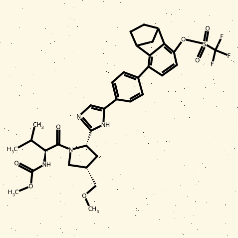 COC[C@H]1C[C@@H](c2ncc(-c3ccc(-c4ccc(OS(=O)(=O)C(F)(F)F)c5c4C4CCC5C4)cc3)[nH]2)N(C(=O)[C@@H](NC(=O)OC)C(C)C)C1